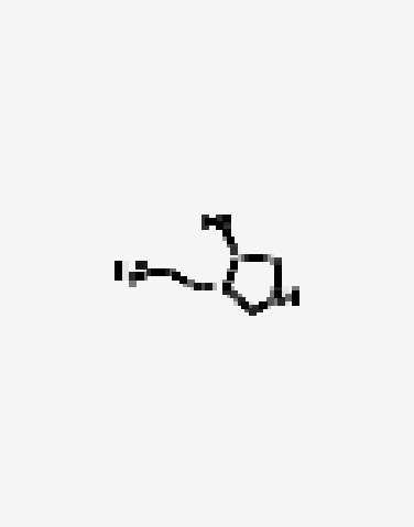 CCC[C@H]1CNCC1O